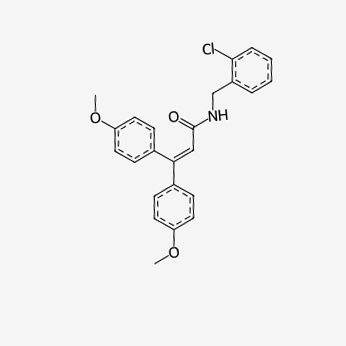 COc1ccc(C(=CC(=O)NCc2ccccc2Cl)c2ccc(OC)cc2)cc1